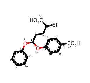 CCC(CCC(Oc1ccccc1)Oc1ccc(C(=O)O)cc1)C(=O)O